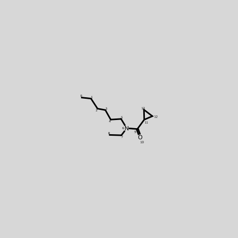 CCCCCCN(CC)C(=O)C1CC1